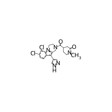 CN1CCC(C(=O)N2CCn3c(c(-c4cn[nH]c4)c4ccc(Cl)c(Cl)c43)C2)CC1=O